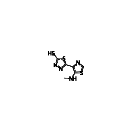 CNc1scnc1-c1nnc(S)s1